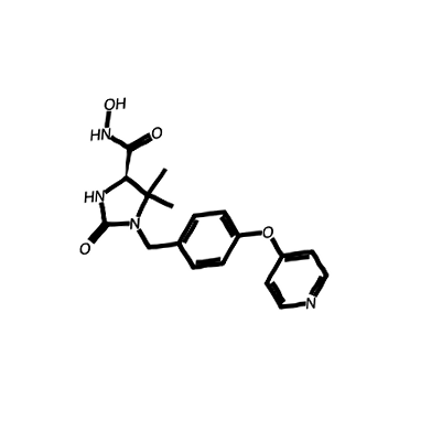 CC1(C)[C@H](C(=O)NO)NC(=O)N1Cc1ccc(Oc2ccncc2)cc1